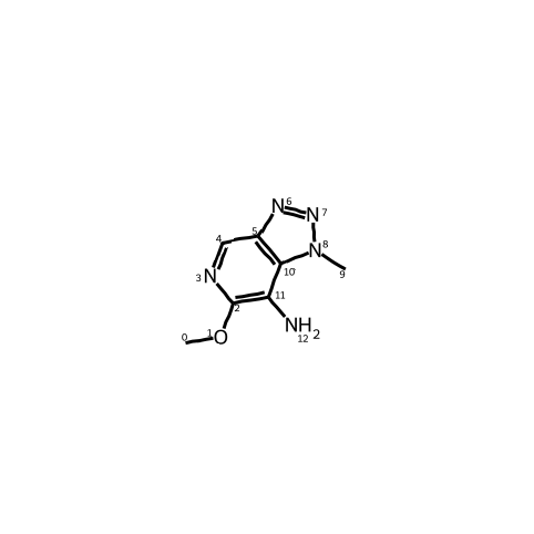 COc1ncc2nnn(C)c2c1N